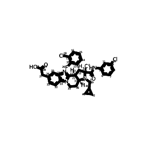 C[C@]1(C(=O)Nc2cccc(Cl)c2)[C@@H](c2cccc(Cl)c2F)[C@@H]2c3nc4cc(CC(=O)O)ccc4n3CC[C@@H]2N1CC1CC1